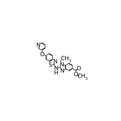 CCn1c(Nc2nc3ccc(Oc4cccnc4)cc3s2)nc2cc(C(=O)OC)ccc21